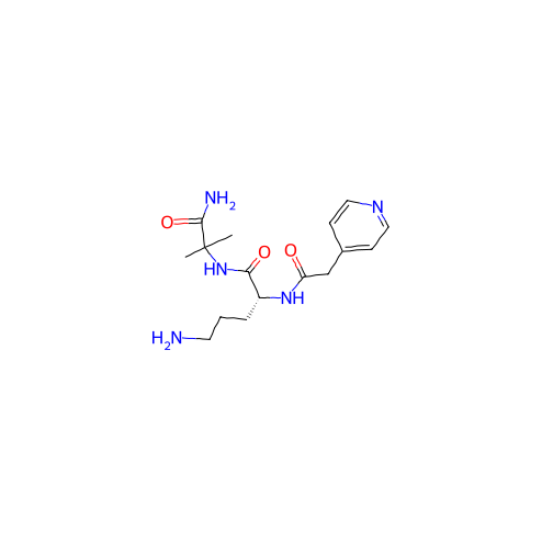 CC(C)(NC(=O)[C@@H](CCCN)NC(=O)Cc1ccncc1)C(N)=O